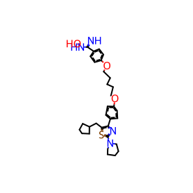 N=C(NO)c1ccc(OCCCCCOc2ccc(-c3nc(N4CCCCC4)sc3CC3CCCC3)cc2)cc1